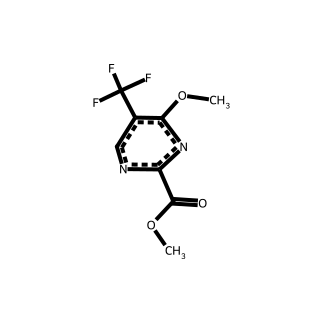 COC(=O)c1ncc(C(F)(F)F)c(OC)n1